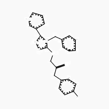 Cc1ccc(CC(=O)CSc2nnc(-c3cccnc3)n2Cc2ccccc2)cc1